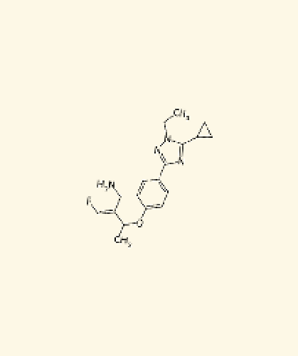 CCn1nc(-c2ccc(OC(C)/C(=C/F)CN)cc2)nc1C1CC1